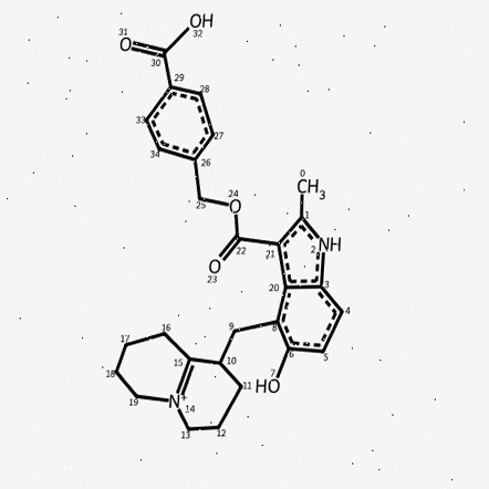 Cc1[nH]c2ccc(O)c(CC3CCC[N+]4=C3CCCC4)c2c1C(=O)OCc1ccc(C(=O)O)cc1